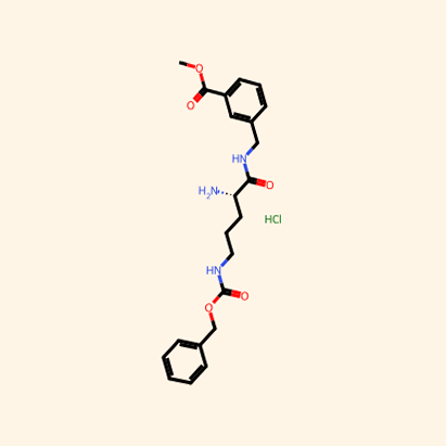 COC(=O)c1cccc(CNC(=O)[C@@H](N)CCCNC(=O)OCc2ccccc2)c1.Cl